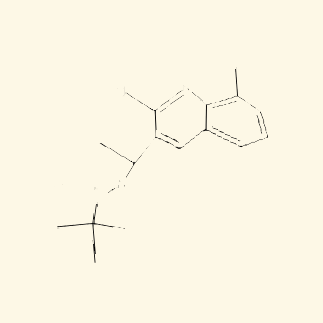 CC(N[S@@+]([O-])C(C)(C)C)c1cc2cccc(F)c2nc1Cl